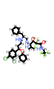 CC(C)[C@H](NC[C@H](Cc1ccccc1)NCCC(Oc1ccccc1)c1ccc(Cl)c(Cl)c1)C(=O)C(F)(F)C(=O)NCC(F)(F)F